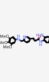 COc1cc(NCc2ccc(/C=C/C(=O)Nc3ccccc3N)cn2)cc(OC)c1OC